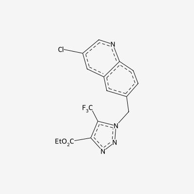 CCOC(=O)c1nnn(Cc2ccc3ncc(Cl)cc3c2)c1C(F)(F)F